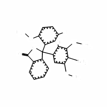 COc1ccc(Cl)cc1C1(c2cc(OC)c(N)c(OC)c2O)OC(=O)c2ccccc21